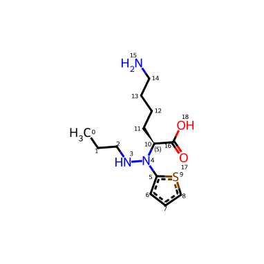 CCCNN(c1cccs1)[C@@H](CCCCN)C(=O)O